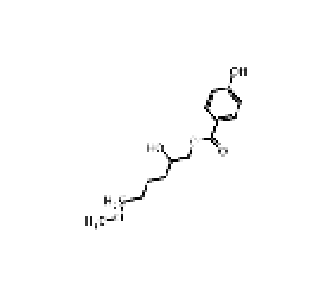 CO[SiH2]CCCC(O)COC(=O)c1ccc(O)cc1